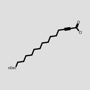 CCCCCCCCCCCCCCCCCCCCCC#CC(=O)Cl